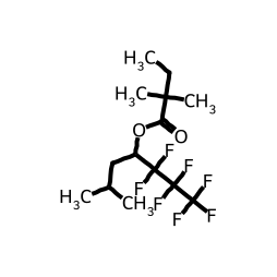 CCC(C)(C)C(=O)OC(CC(C)C)C(F)(F)C(F)(F)C(F)(F)F